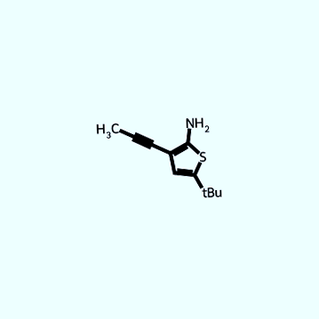 CC#Cc1cc(C(C)(C)C)sc1N